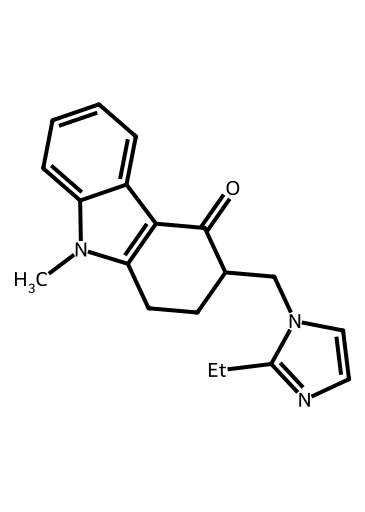 CCc1nccn1CC1CCc2c(c3ccccc3n2C)C1=O